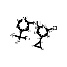 FC(F)(F)c1ccnc(Nc2cc(C3CC3)cc(Cl)n2)c1